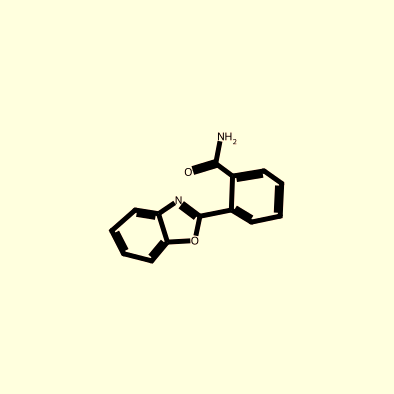 NC(=O)c1ccccc1-c1nc2ccccc2o1